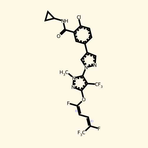 Cn1nc(O/C(F)=C\C=C(\F)C(F)(F)F)c(C(F)(F)F)c1-n1cc(-c2ccc(Cl)c(C(=O)NC3CC3)c2)cn1